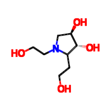 OCCC1[C@@H](O)[C@H](O)CN1CCO